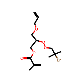 C=CCOCC(COC(=O)C(=C)C)OOCC(C)(C)Br